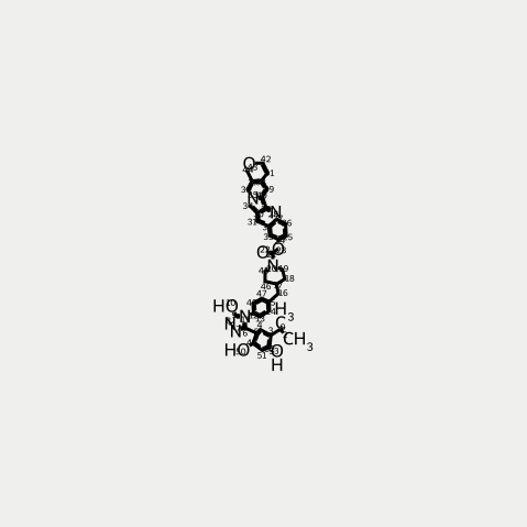 CC(C)c1cc(-c2nnc(O)n2-c2ccc(CC3CCN(C(=O)Oc4ccc5nc6c(cc5c4)cn4cc5c(cc64)C=COC5)CC3)cc2)c(O)cc1O